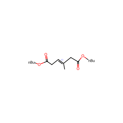 CCCCOC(=O)C/C=C(\C)CC(=O)OCCCC